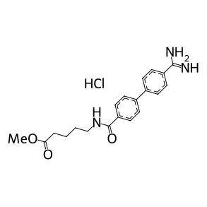 COC(=O)CCCCNC(=O)c1ccc(-c2ccc(C(=N)N)cc2)cc1.Cl